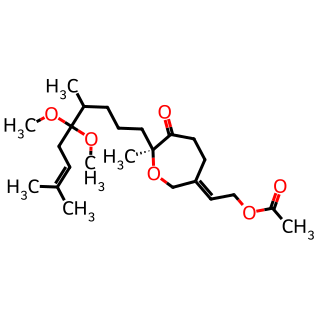 COC(CC=C(C)C)(OC)C(C)CCC[C@]1(C)OC/C(=C/COC(C)=O)CCC1=O